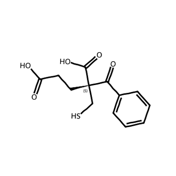 O=C(O)CC[C@@](CS)(C(=O)O)C(=O)c1ccccc1